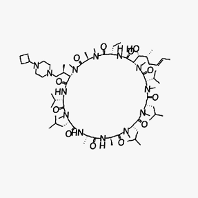 C/C=C/C[C@@H](C)[C@@H](O)[C@H]1C(=O)N[C@@H](CC)C(=O)N(C)[C@H](C)C(=O)N(C)[C@@H]([C@H](C)CN2CCN(C3CCC3)CC2)C(=O)N[C@@H](C(C)C)C(=O)N(C)[C@@H](CC(C)C)C(=O)N[C@@H](C)C(=O)N[C@H](C)C(=O)N(C)[C@@H](CC(C)C)C(=O)N(C)[C@@H](CC(C)C)C(=O)N(C)[C@@H](C(C)C)C(=O)N1C